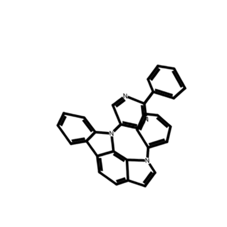 c1ccc(-c2ncc(-n3c4ccccc4c4ccc5ccn(-c6ccccc6)c5c43)cn2)cc1